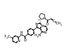 C=C=CC(=O)N1CCC[C@H]1c1nc(-c2ccc(C(=O)Nc3cc(C(F)(F)F)ccn3)cc2)c2c(N)nccn12